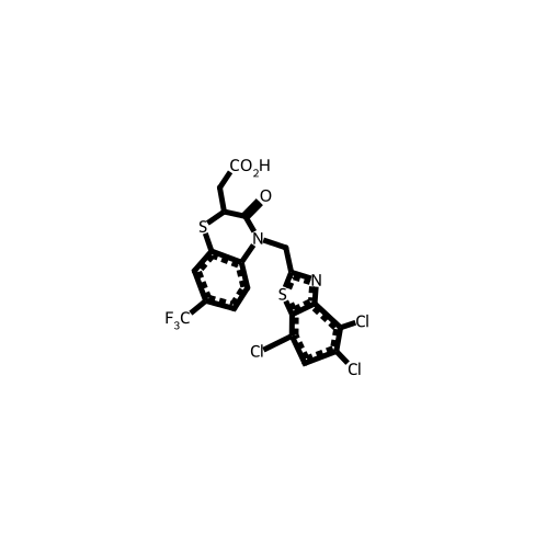 O=C(O)CC1Sc2cc(C(F)(F)F)ccc2N(Cc2nc3c(Cl)c(Cl)cc(Cl)c3s2)C1=O